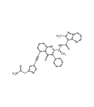 Cc1nn2cccnc2c1C(=O)N[C@@H](C)c1nc2cccc(C#Cc3cnn(CC(N)=O)c3)c2c(=O)n1-c1ccccc1